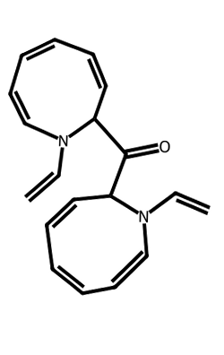 C=CN1C=CC=CC=CC1C(=O)C1C=CC=CC=CN1C=C